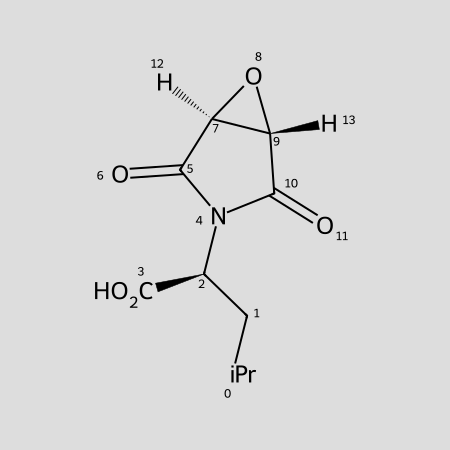 CC(C)C[C@@H](C(=O)O)N1C(=O)[C@H]2O[C@@H]2C1=O